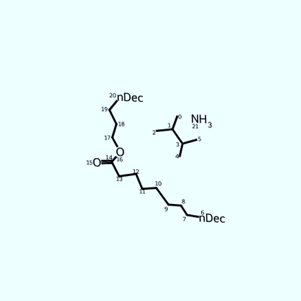 CC(C)C(C)C.CCCCCCCCCCCCCCCCCC(=O)OCCCCCCCCCCCCC.N